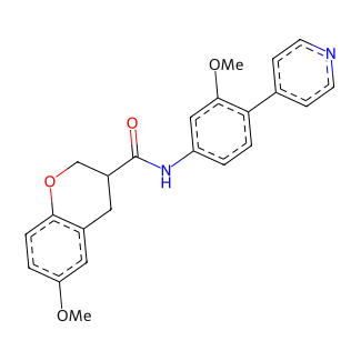 COc1ccc2c(c1)CC(C(=O)Nc1ccc(-c3ccncc3)c(OC)c1)CO2